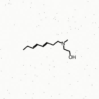 CCC=CC=CCCN(C)CCO